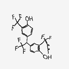 Oc1ccc(C(c2ccc(O)c(C(F)(F)F)c2)C(F)(F)F)cc1C(F)(F)F